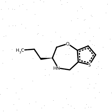 CCC[C@H]1COc2ccsc2CN1